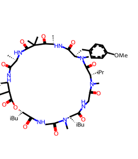 CCC1NC(=O)[C@H](C)NC(=O)C(C)(C)C(=O)[C@H](C)NC(=O)[C@H](Cc2ccc(OC)cc2)N(C)C(=O)[C@H](C(C)C)N(C)C(=O)CNC(=O)[C@H]([C@@H](C)CC)N(C)C(=O)CNC(=O)[C@H]([C@@H](C)CC)OC(=O)C1C